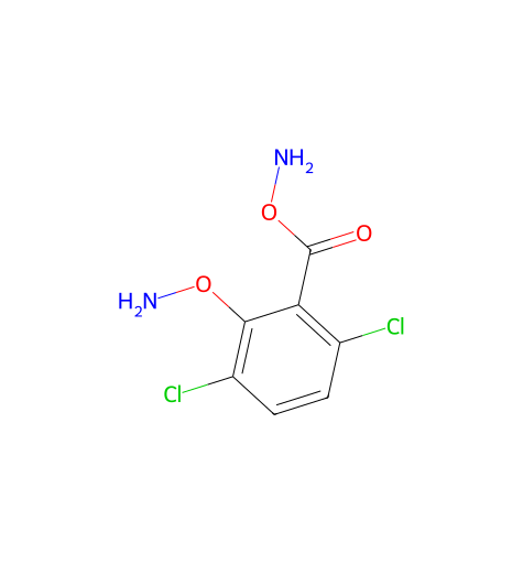 NOC(=O)c1c(Cl)ccc(Cl)c1ON